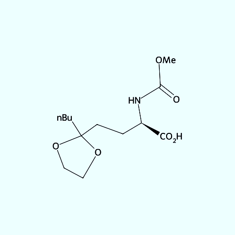 CCCCC1(CC[C@@H](NC(=O)OC)C(=O)O)OCCO1